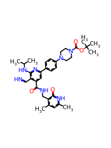 Cc1cc(C)c(CNC(=O)c2cc(-c3ccc(N4CCN(C(=O)OC(C)(C)C)CC4)cc3)nc(NC(C)C)c2C=N)c(=O)[nH]1